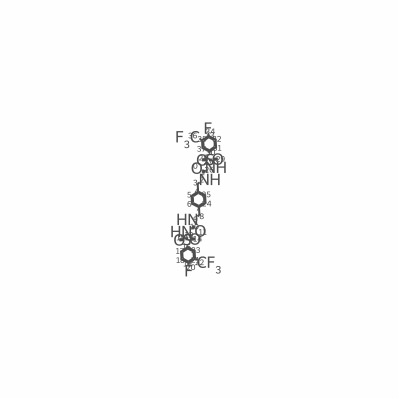 O=C(NCc1ccc(CNC(=O)NS(=O)(=O)c2ccc(F)c(C(F)(F)F)c2)cc1)NS(=O)(=O)c1ccc(F)c(C(F)(F)F)c1